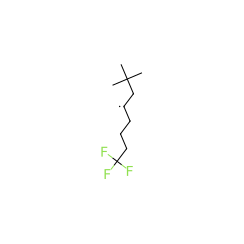 CC(C)(C)C[CH]CCCC(F)(F)F